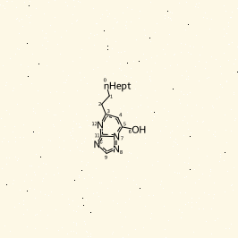 CCCCCCCCCc1cc(O)n2ncnc2n1